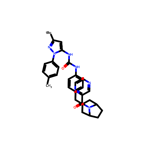 Cc1ccc(-n2nc(C(C)(C)C)cc2NC(=O)Nc2ccc(CC3CC4CCC(C3)N4C(=O)c3cnccn3)cc2)cc1